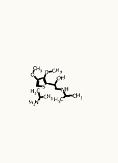 CC(C)N.COc1csc(C(O)CNC(C)C)c1OC